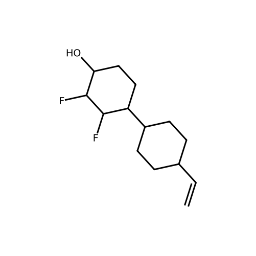 C=CC1CCC(C2CCC(O)C(F)C2F)CC1